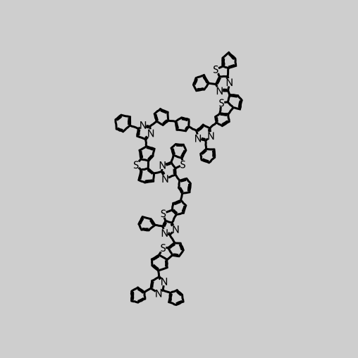 C1=CC2c3ccc(-c4cc(-c5ccc(-c6cccc(-c7nc(-c8ccccc8)cc(-c8ccc9c(c8)sc8cccc(-c%10nc(-c%11cccc(-c%12ccc%13c(c%12)sc%12c(-c%14ccccc%14)nc(-c%14cccc%15c%14sc%14ccc(-c%16cc(-c%17ccccc%17)nc(-c%17ccccc%17)n%16)cc%14%15)nc%12%13)c%11)c%11sc%12ccccc%12c%11n%10)c89)n7)c6)cc5)nc(-c5ccccc5)n4)cc3SC2C(c2nc(-c3ccccc3)c3sc4ccccc4c3n2)=C1